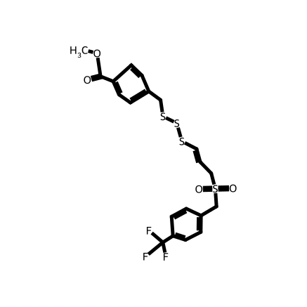 COC(=O)c1ccc(CSSS/C=C/CS(=O)(=O)Cc2ccc(C(F)(F)F)cc2)cc1